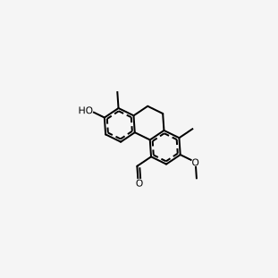 COc1cc(C=O)c2c(c1C)CCc1c-2ccc(O)c1C